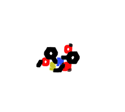 CCOc1ccccc1C1SCCC(=O)N1Cc1c(OC)cccc1OC